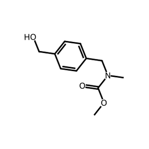 COC(=O)N(C)Cc1ccc(CO)cc1